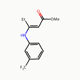 CCC(=CC(=O)OC)Nc1cccc(C(F)(F)F)c1